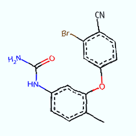 Cc1ccc(NC(N)=O)cc1Oc1ccc(C#N)c(Br)c1